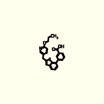 CCCOc1ccc(Cc2cc3cccc(-c4cccc(C(=O)O)c4)c3s2)cn1